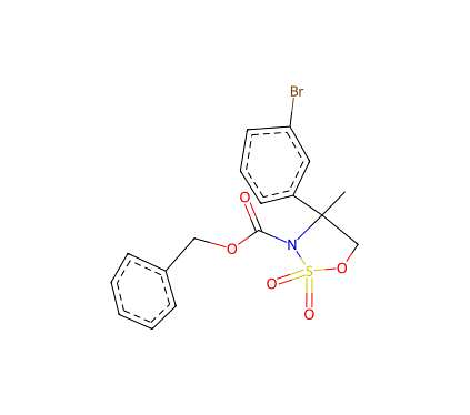 CC1(c2cccc(Br)c2)COS(=O)(=O)N1C(=O)OCc1ccccc1